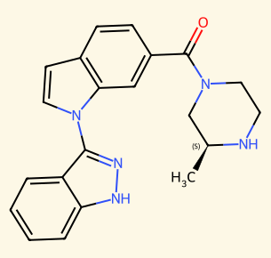 C[C@H]1CN(C(=O)c2ccc3ccn(-c4n[nH]c5ccccc45)c3c2)CCN1